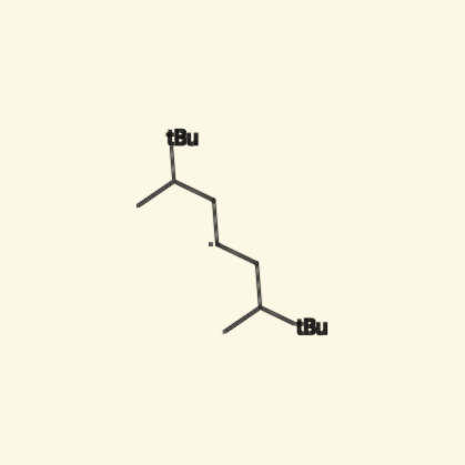 CC(C[CH]CC(C)C(C)(C)C)C(C)(C)C